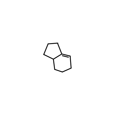 [CH]1CCC2CCCC=C12